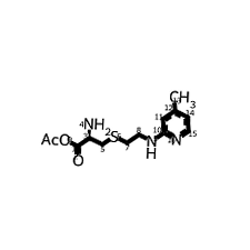 CC(=O)OC(=O)[C@@H](N)CSCCNc1cc(C)ccn1